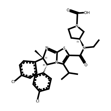 CCN(C(=O)C1=C(C(C)C)N2C(=N[C@@](C)(c3ccc(Cl)cc3)[C@H]2c2ccc(Cl)cc2)S1)[C@H]1CCN(C(=O)O)C1